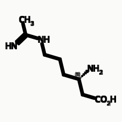 CC(=N)NCCC[C@H](N)CC(=O)O